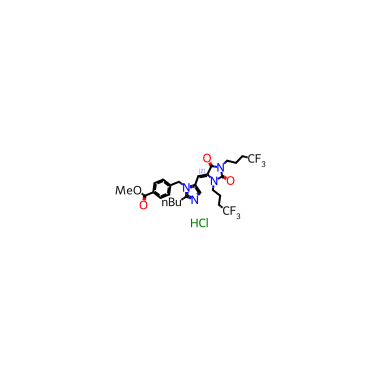 CCCCc1ncc(/C=C2/C(=O)N(CCCC(F)(F)F)C(=O)N2CCCC(F)(F)F)n1Cc1ccc(C(=O)OC)cc1.Cl